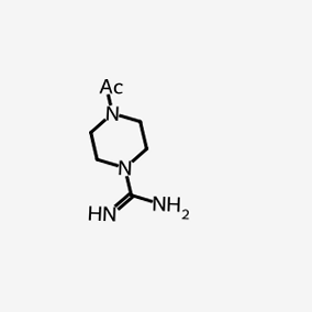 CC(=O)N1CCN(C(=N)N)CC1